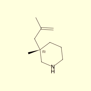 C=C(C)C[C@]1(C)CCCNC1